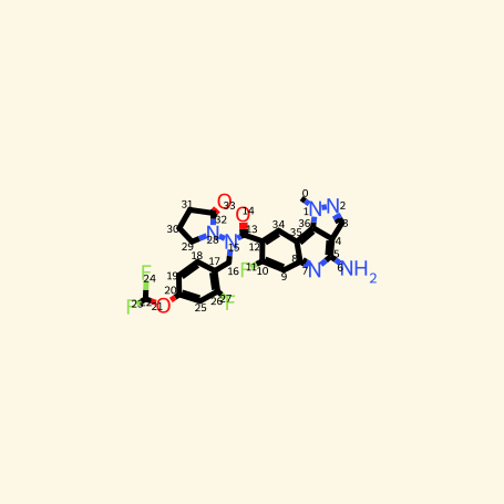 Cn1ncc2c(N)nc3cc(F)c(C(=O)N(Cc4ccc(OC(F)F)cc4F)N4CCCC4=O)cc3c21